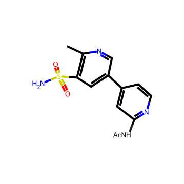 CC(=O)Nc1cc(-c2cnc(C)c(S(N)(=O)=O)c2)ccn1